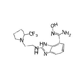 NC(=NO)c1cccc2nc(NCCN3CCCC3C(F)(F)F)[nH]c12